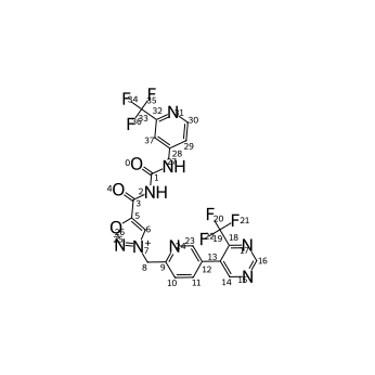 O=C(NC(=O)c1c[n+](Cc2ccc(-c3cncnc3C(F)(F)F)cn2)no1)Nc1ccnc(C(F)(F)F)c1